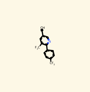 C#Cc1cnc(-c2ccc(C(F)(F)F)cc2)c(C(F)(F)F)c1